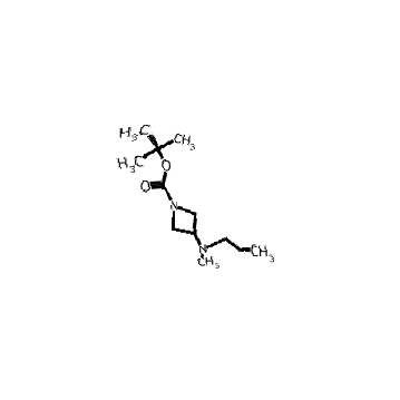 CCCN(C)C1CN(C(=O)OC(C)(C)C)C1